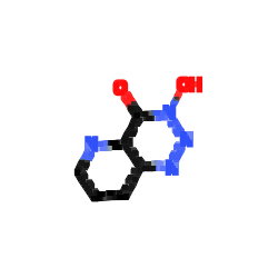 O=c1c2ncccc2nnn1O